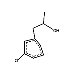 CC(O)Cc1cccc(Cl)c1